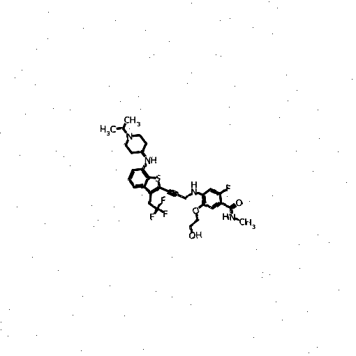 CNC(=O)c1cc(OCCO)c(NCC#Cc2sc3c(NC4CCN(C(C)C)CC4)cccc3c2CC(F)(F)F)cc1F